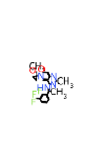 COCC1(n2cc3c(N[C@H](C)c4cccc(C(F)F)c4F)nc(C)nc3cc2=O)CC1